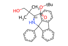 CC(C)(C)OC(=O)[C@@H](NC1(c2ccccc2)c2ccccc2-c2ccccc21)C(C)(C)CO